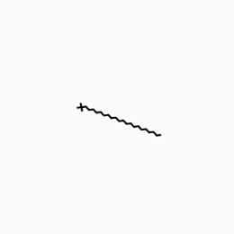 CCCCCCCCCCCCCCCCCCCCCC(C)(C)C